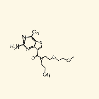 COCCOCCN(CCO)C(=O)c1csc2c(O)nc(N)nc12